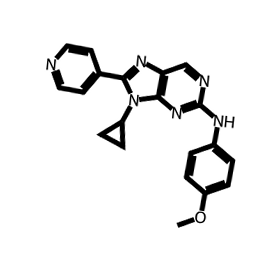 COc1ccc(Nc2ncc3nc(-c4ccncc4)n(C4CC4)c3n2)cc1